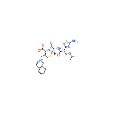 CC(C)O/N=C(/C(=O)NC1C(=O)N2C(C(=O)[O-])=C(C[n+]3ccc4ccccc4c3)CS[C@H]12)c1nsc(N)n1